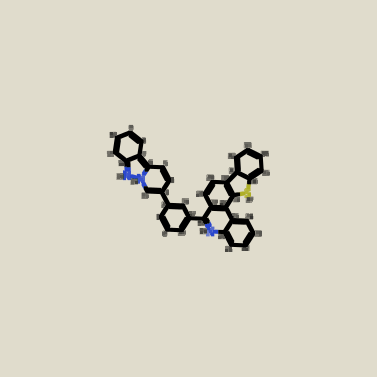 c1cc(-c2ccc3c4ccccc4nn3c2)cc(-c2nc3ccccc3c3c2ccc2c4ccccc4sc23)c1